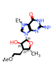 CC[n+]1cn([C@@H]2O[C@H](C)[C@@H](CCOC)[C@H]2O)c2nc(N)[nH]c(=O)c21